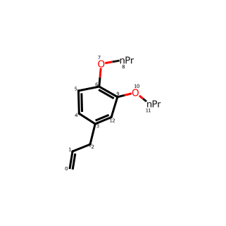 C=C[CH]c1ccc(OCCC)c(OCCC)c1